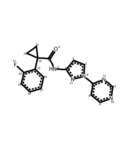 O=C(Nc1ccn(-c2ccncn2)n1)C1(c2ccccc2F)CC1